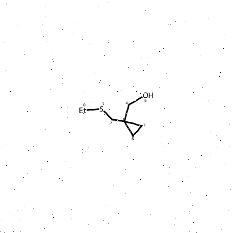 CCSCC1(CO)CC1